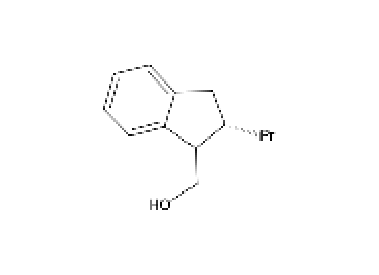 CC(C)[C@H]1Cc2ccccc2C1CO